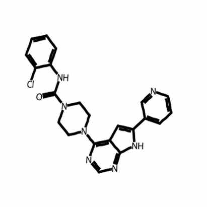 O=C(Nc1ccccc1Cl)N1CCN(c2ncnc3[nH]c(-c4cccnc4)cc23)CC1